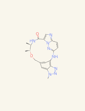 C[C@@H]1OCc2cc(c3nnn(C)c3c2)Nc2ccc3ncc(n3n2)C(=O)N[C@@H]1C